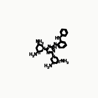 N[C@@H]1C[C@H](N)CN(c2nc(Nc3ccccc3Nc3ccccc3)nc(N3C[C@H](N)C[C@H](N)C3)n2)C1